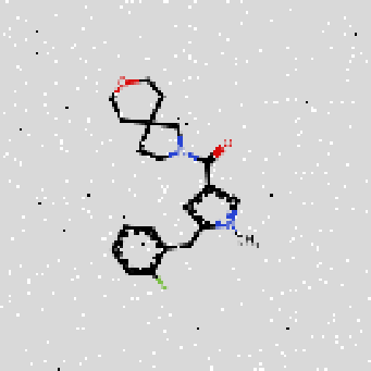 Cn1cc(C(=O)N2CCC3(CCOCC3)C2)cc1Cc1ccccc1F